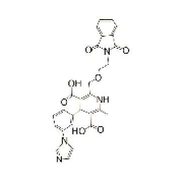 CC1=C(C(=O)O)C(c2cccc(-n3ccnc3)c2)C(C(=O)O)=C(COCCN2C(=O)c3ccccc3C2=O)N1